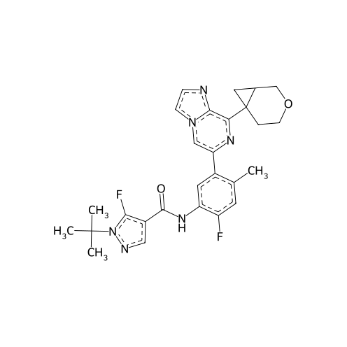 Cc1cc(F)c(NC(=O)c2cnn(C(C)(C)C)c2F)cc1-c1cn2ccnc2c(C23CCOCC2C3)n1